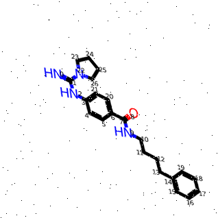 N=C(Nc1ccc(C(=O)NCCCCc2ccccc2)cc1)N1CCCC1